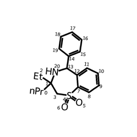 CCCC1(CC)CS(=O)(=O)c2ccccc2C(c2ccccc2)N1